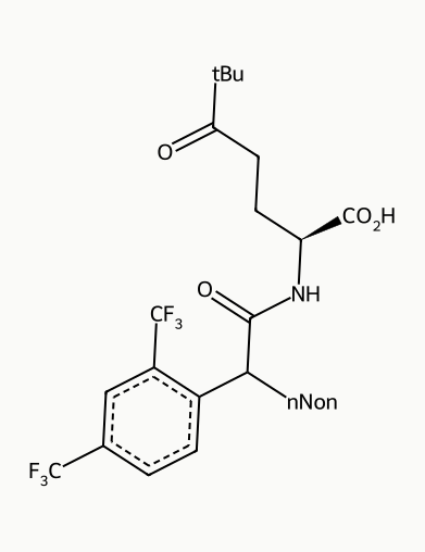 CCCCCCCCCC(C(=O)N[C@@H](CCC(=O)C(C)(C)C)C(=O)O)c1ccc(C(F)(F)F)cc1C(F)(F)F